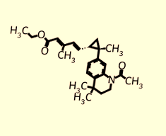 CCOC(=O)/C=C(C)/C=C/[C@@H]1C[C@]1(C)c1ccc2c(c1)N(C(C)=O)CCC2(C)C